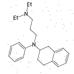 CCN(CC)CCCN(c1ccccc1)C1CCc2ccccc2C1